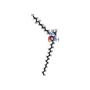 CCCCCCCCCCCCCCCCCC(=O)N[C@@H](CC(C)C)C(=O)NCCCCCCCCCCCC